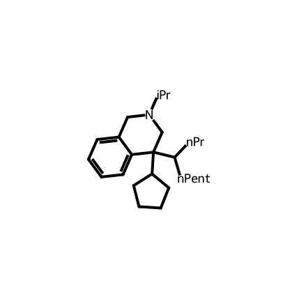 CCCCCC(CCC)C1(C2CCCC2)CN(C(C)C)Cc2ccccc21